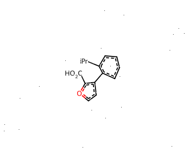 CC(C)c1ccccc1-c1ccoc1C(=O)O